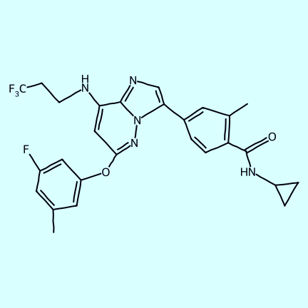 Cc1cc(F)cc(Oc2cc(NCCC(F)(F)F)c3ncc(-c4ccc(C(=O)NC5CC5)c(C)c4)n3n2)c1